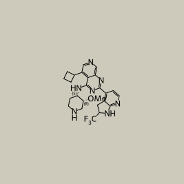 CO[C@@H]1CNCC[C@@H]1Nc1nc(-c2ccnc3c2CC(C(F)(F)F)N3)nc2cncc(C3CCC3)c12